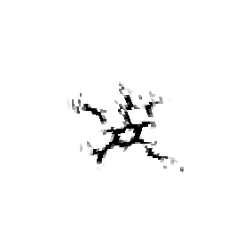 CCOc1cc(C(=O)O)c(OCC)c(OCC)c1OCC